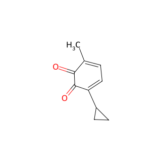 CC1=CC=C(C2CC2)C(=O)C1=O